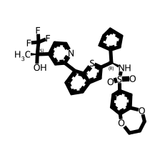 C[C@](O)(c1ccnc(-c2cccc3cc([C@H](NS(=O)(=O)c4ccc5c(c4)OCCCO5)c4ccccc4)sc23)c1)C(F)(F)F